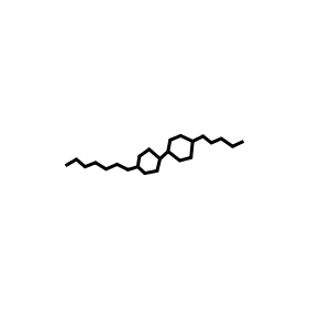 CCCCCCCC1CCC(C2CCC(CCCCC)CC2)CC1